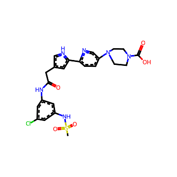 CS(=O)(=O)Nc1cc(Cl)cc(NC(=O)Cc2c[nH]c(-c3ccc(N4CCN(C(=O)O)CC4)cn3)c2)c1